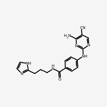 N#Cc1cnc(Nc2ccc(C(=O)NCCCc3ncc[nH]3)cc2)nc1N